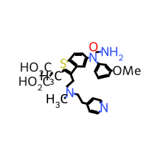 COc1cccc(N(C(N)=O)c2ccc3sc(C)c(CCN(C)CCc4ccncc4)c3c2)c1.O=C(O)CC(=O)O